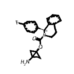 NC12CC1(OC(=O)N1CCc3ccccc3[C@@H]1c1ccc(F)cc1)C2